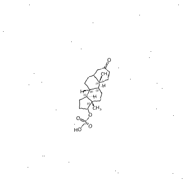 C[C@]12CCC(=O)CC1CC[C@@H]1[C@@H]2CC[C@]2(C)C(OS(=O)(=O)O)CC[C@@H]12